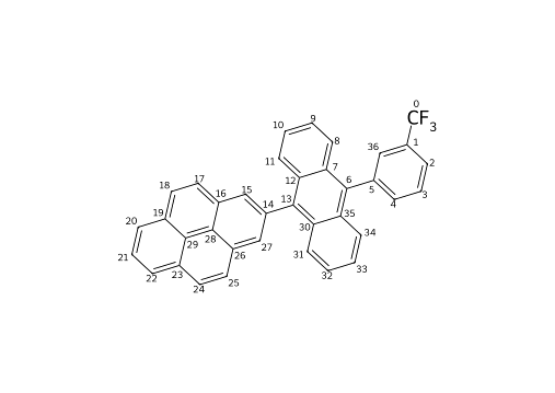 FC(F)(F)c1cccc(-c2c3ccccc3c(-c3cc4ccc5cccc6ccc(c3)c4c56)c3ccccc23)c1